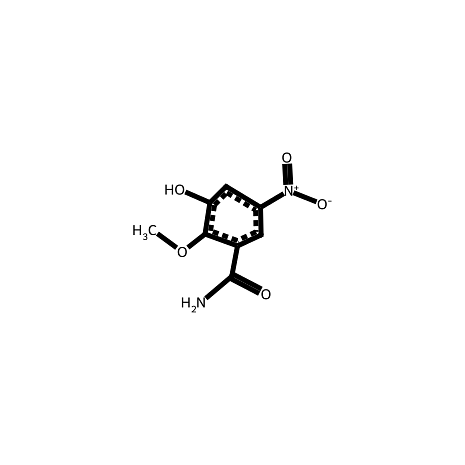 COc1c(O)cc([N+](=O)[O-])cc1C(N)=O